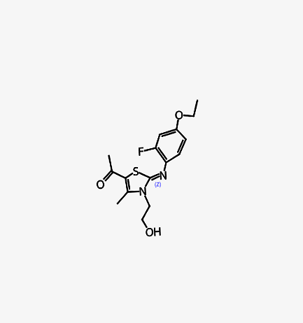 CCOc1ccc(/N=c2\sc(C(C)=O)c(C)n2CCO)c(F)c1